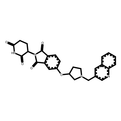 O=C1CCC(N2C(=O)c3ccc(OC4CCN(Cc5cnc6ccccc6c5)C4)cc3C2=O)C(=O)N1